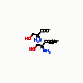 N[C@@H](CO)C(=O)[O-].N[C@@H](CO)C(=O)[O-].[Na+].[Na+]